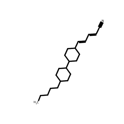 CCCCCC1CCC(C2CCC(C=CC=CC#N)CC2)CC1